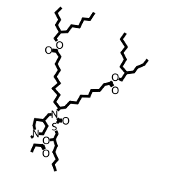 CCCCCCC(CCCC)COC(=O)CCCCCCCCC(CCCCCCCCC(=O)OCC(CCCC)CCCCCC)N(CC1CCN(C)CC1)C(=O)SCC(CCCCC)OC(=O)CC